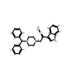 O=C=C(CN1CCN(C(c2ccccc2)c2ccccc2)CC1)c1csc2ccccc12